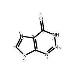 O=c1[nH]nnc2scnc12